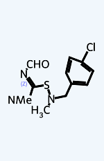 CN/C(=N/C=O)SN(C)Cc1ccc(Cl)cc1